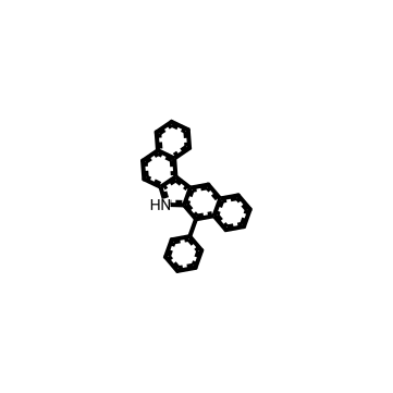 c1ccc(-c2c3ccccc3cc3c2[nH]c2ccc4ccccc4c23)cc1